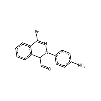 Nc1ccc(N2N=C(Br)c3ccccc3C2C=O)cc1